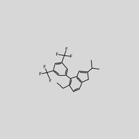 CCc1ccc2c(c1-c1cc(C(F)(F)F)cc(C(F)(F)F)c1)C=C(C(C)C)[CH]2